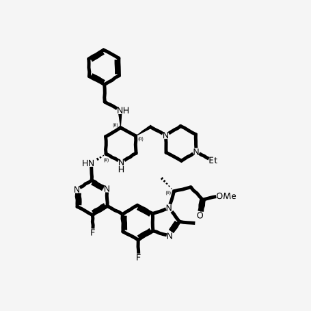 CCN1CCN(C[C@H]2CN[C@H](Nc3ncc(F)c(-c4cc(F)c5nc(C)n([C@H](C)CC(=O)OC)c5c4)n3)C[C@H]2NCc2ccccc2)CC1